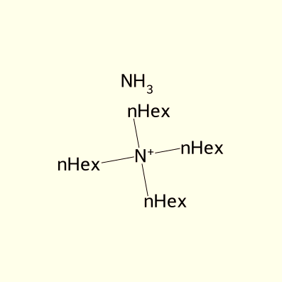 CCCCCC[N+](CCCCCC)(CCCCCC)CCCCCC.N